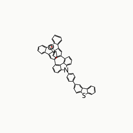 c1ccc2c(c1)oc1ccc(-c3cccc4c3c3c(-c5ccc6oc7ccccc7c6c5)cccc3n4-c3ccc(-c4ccc5sc6ccccc6c5c4)cc3)cc12